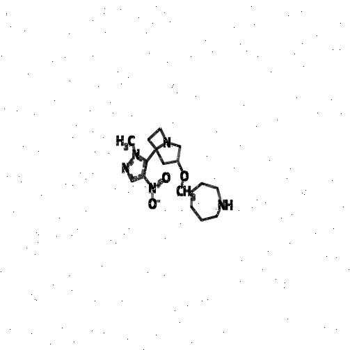 C1CCCNCC1.COC1CN2CCC2(c2c([N+](=O)[O-])cnn2C)C1